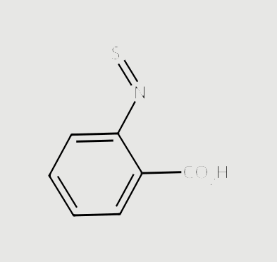 O=C(O)c1ccccc1N=S